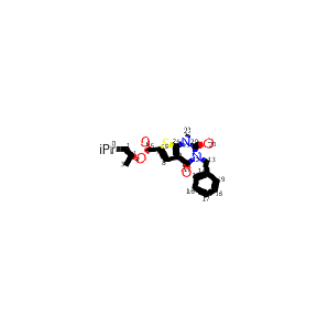 CC(C)CC(C)OC(=O)c1cc2c(=O)n(Cc3ccccc3)c(=O)n(C)c2s1